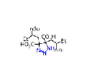 CCCCC(CC)CC1(C(=O)O)N=NNC1(CC(CC)CCCC)C(=O)O